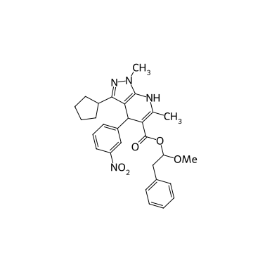 COC(Cc1ccccc1)OC(=O)C1=C(C)Nc2c(c(C3CCCC3)nn2C)C1c1cccc([N+](=O)[O-])c1